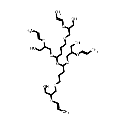 CC=COC(CO)COCCCC(OCC(CO)OC=CC)OC(CCCOCC(CO)OC=CC)OCC(CO)OC=CC